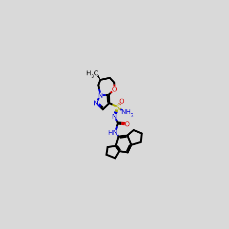 C[C@H]1CCOc2c(S(N)(=O)=NC(=O)Nc3c4c(cc5c3CCC5)CCC4)cnn2C1